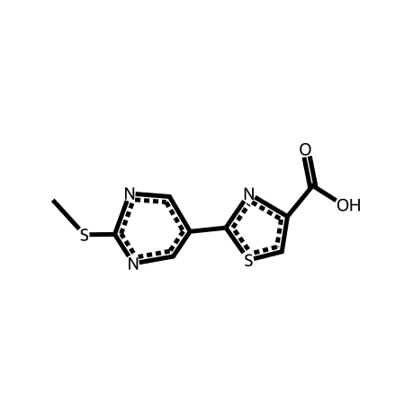 CSc1ncc(-c2nc(C(=O)O)cs2)cn1